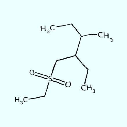 CCC(C)C(CC)CS(=O)(=O)CC